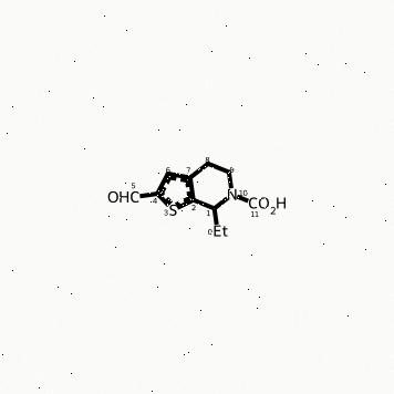 CCC1c2sc(C=O)cc2CCN1C(=O)O